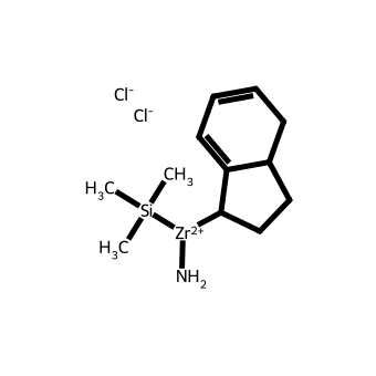 C[Si](C)(C)[Zr+2]([NH2])[CH]1CCC2CC=CC=C21.[Cl-].[Cl-]